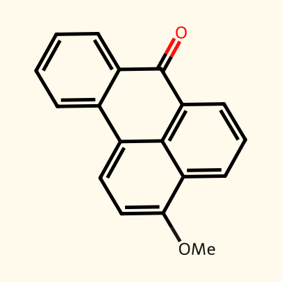 COc1ccc2c3c(cccc13)C(=O)c1ccccc1-2